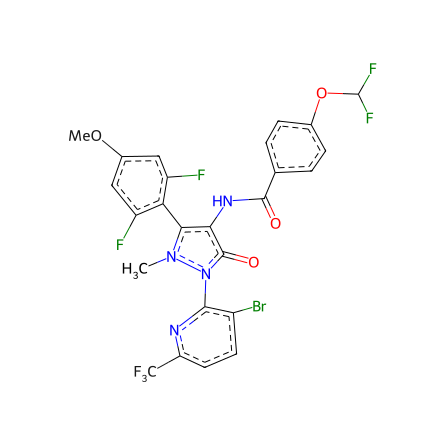 COc1cc(F)c(-c2c(NC(=O)c3ccc(OC(F)F)cc3)c(=O)n(-c3nc(C(F)(F)F)ccc3Br)n2C)c(F)c1